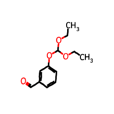 CCOC(OCC)Oc1cccc(C=O)c1